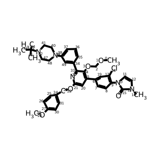 COCOc1c(-c2ccc(-n3ccn(C)c3=O)c(Cl)c2)cc(OCc2ccc(OC)cc2)nc1-c1cccc(N2CCN(C(C)(C)C)CC2)c1